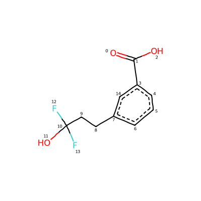 O=C(O)c1cccc(CCC(O)(F)F)c1